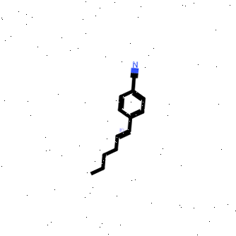 CCCC/C=C/c1ccc(C#N)cc1